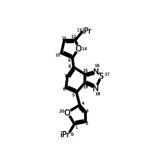 CC(C)c1ccc(-c2ccc(-c3ccc(C(C)C)o3)c3nsnc23)o1